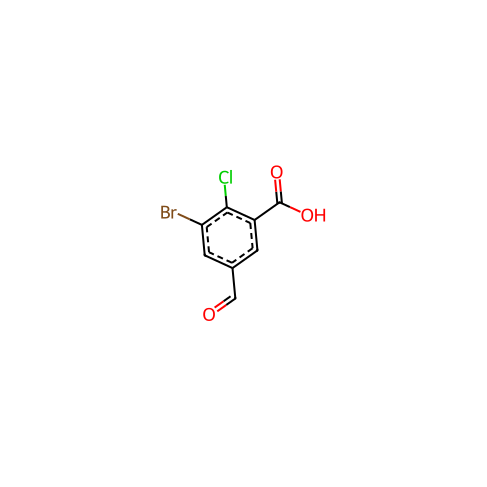 O=Cc1cc(Br)c(Cl)c(C(=O)O)c1